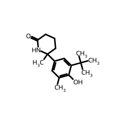 Cc1cc(C2(C)CCCC(=O)N2)cc(C(C)(C)C)c1O